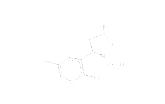 O=C(O)N1CC(O)CC1c1cc(F)cnc1Cl